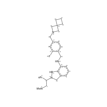 CCCC(CNC)N1Bc2c(cccc2NCc2ccc(CN3CC4(CCC4)C3)cc2F)C1